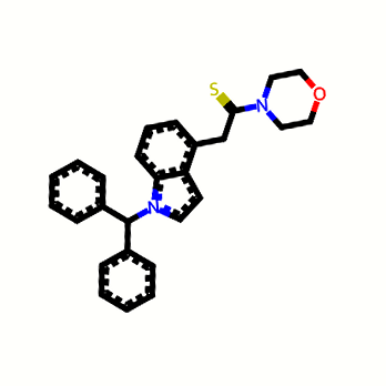 S=C(Cc1cccc2c1ccn2C(c1ccccc1)c1ccccc1)N1CCOCC1